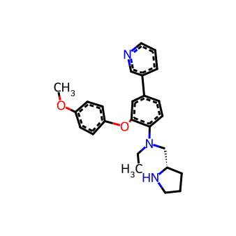 CCN(C[C@@H]1CCCN1)c1ccc(-c2cccnc2)cc1Oc1ccc(OC)cc1